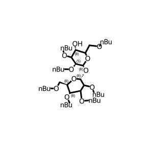 CCCCOCC1O[C@H](O[C@H]2O[C@H](COCCCC)[C@@H](OCCCC)C(OCCCC)C2OCCCC)[C@@H](OCCCC)C(OCCCC)[C@@H]1O